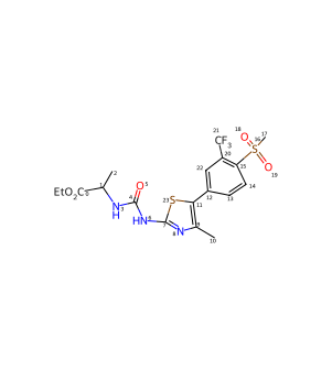 CCOC(=O)C(C)NC(=O)Nc1nc(C)c(-c2ccc(S(C)(=O)=O)c(C(F)(F)F)c2)s1